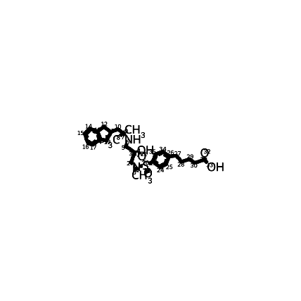 CN(C[C@H](O)CNC(C)(C)CC1Cc2ccccc2C1)S(=O)(=O)c1ccc(CCCCC(=O)O)cc1